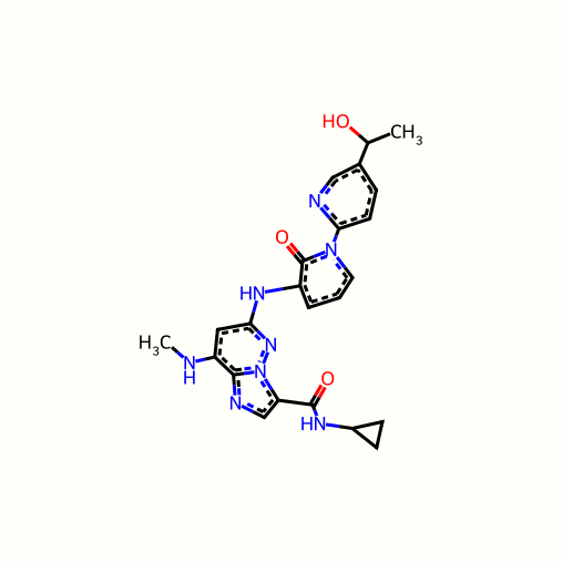 CNc1cc(Nc2cccn(-c3ccc(C(C)O)cn3)c2=O)nn2c(C(=O)NC3CC3)cnc12